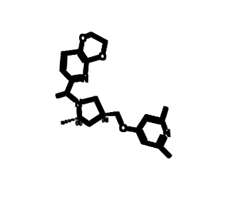 Cc1cc(OC[C@H]2C[C@H](C)N(C(C)c3ccc4c(n3)OCCO4)C2)cc(C)n1